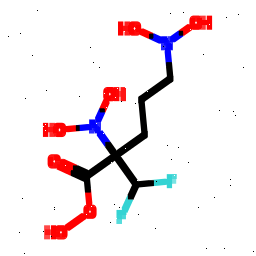 O=C(OO)C(CCCN(O)O)(C(F)F)N(O)O